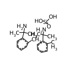 Cc1ccccc1C(C)(C)N.Cc1ccccc1C(C)(C)N.O=[Si](O)O